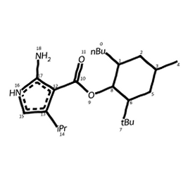 CCCCC1CC(C)CC(C(C)(C)C)C1OC(=O)c1c(C(C)C)c[nH]c1N